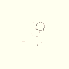 COC1c2cccc(Br)c2CC1C